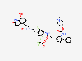 C[N+]1(C)CCC(OC(=O)Nc2cc(CCC(=O)Nc3cc(F)c(CCNC[C@H](O)c4ccc(O)c5[nH]c(=O)ccc45)cc3F)ccc2-c2ccccc2)CC1.O=C([O-])C(F)(F)F